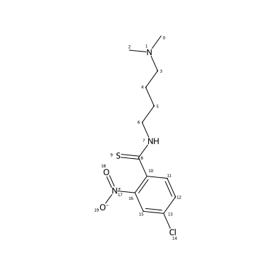 CN(C)CCCCNC(=S)c1ccc(Cl)cc1[N+](=O)[O-]